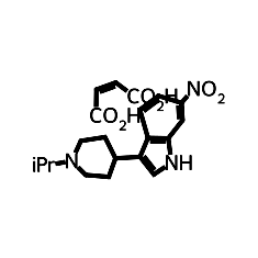 CC(C)N1CCC(c2c[nH]c3cc([N+](=O)[O-])ccc23)CC1.O=C(O)/C=C\C(=O)O